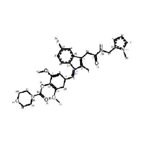 COC1=CC(/C=C2/C(C)=C(CC(=O)NCc3cccn3C)c3cc(F)ccc32)CC(OC)=C1OC(=O)N1CCOCC1